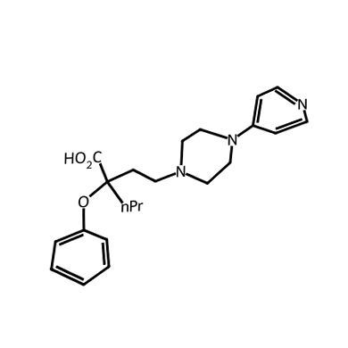 CCCC(CCN1CCN(c2ccncc2)CC1)(Oc1ccccc1)C(=O)O